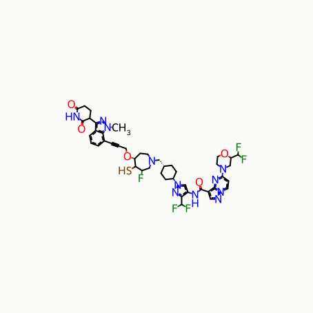 Cn1nc(C2CCC(=O)NC2=O)c2cccc(C#CCO[C@H]3CCN(C[C@H]4CC[C@H](n5cc(NC(=O)c6cnn7ccc(N8CCOC(C(F)F)C8)nc67)c(C(F)F)n5)CC4)C[C@@H](F)C3S)c21